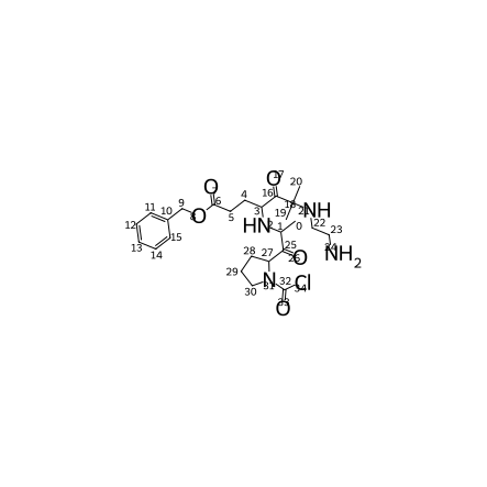 CC(NC(CCC(=O)OCc1ccccc1)C(=O)C(C)(C)NCCN)C(=O)C1CCCN1C(=O)Cl